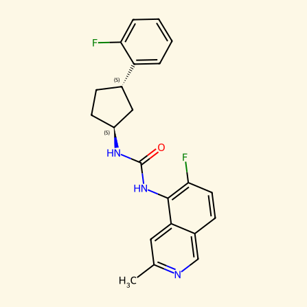 Cc1cc2c(NC(=O)N[C@H]3CC[C@H](c4ccccc4F)C3)c(F)ccc2cn1